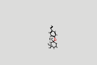 C=Cc1ccc(OC2(CC)CCC[Si](C)(C)C2)cc1